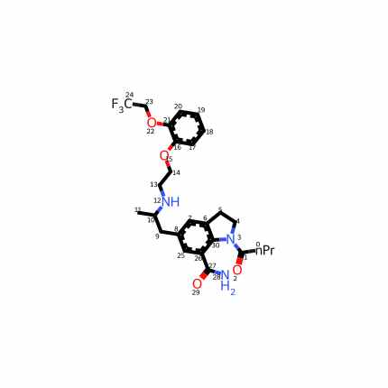 CCCC(=O)N1CCc2cc(CC(C)NCCOc3ccccc3OCC(F)(F)F)cc(C(N)=O)c21